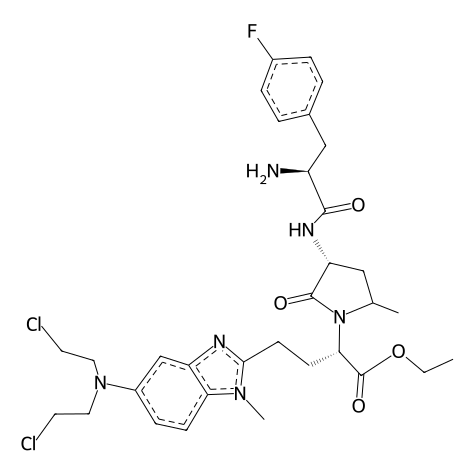 CCOC(=O)[C@H](CCc1nc2cc(N(CCCl)CCCl)ccc2n1C)N1C(=O)[C@H](NC(=O)[C@@H](N)Cc2ccc(F)cc2)CC1C